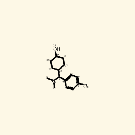 CN(C)C(c1ccc(Cl)cc1)C1CCC(O)CC1